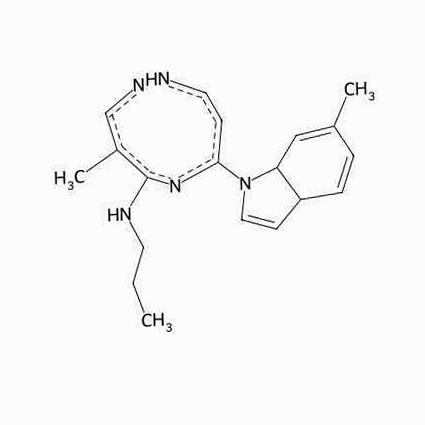 CCCNc1nc(N2C=CC3C=CC(C)=CC32)cc[nH]ncc1C